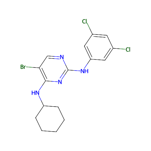 Clc1cc(Cl)cc(Nc2ncc(Br)c(NC3CCCCC3)n2)c1